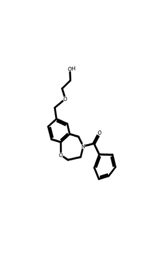 O=C(c1ccccc1)N1CCOc2ccc(COCCO)cc2C1